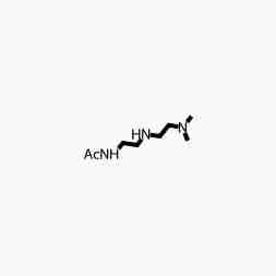 CC(=O)NCCNCCN(C)C